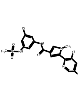 Cn1cc(C(=O)Nc2cc(Cl)cc(NS(C)(=O)=O)c2)cc1-c1ncc(F)cc1Cl